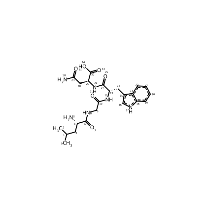 CC(C)C[C@H](N)C(=O)NCC(=O)N[C@@H](Cc1c[nH]c2ccccc12)C(=O)N[C@@H](CC(N)=O)C(=O)O